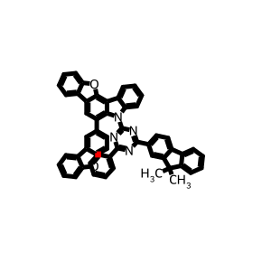 CC1(C)c2ccccc2-c2ccc(-c3nc(-c4ccccc4)nc(-n4c5ccccc5c5c6oc7ccccc7c6cc(-c6ccc7oc8ccccc8c7c6)c54)n3)cc21